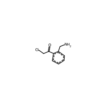 NCc1ccccc1C(=O)CCl